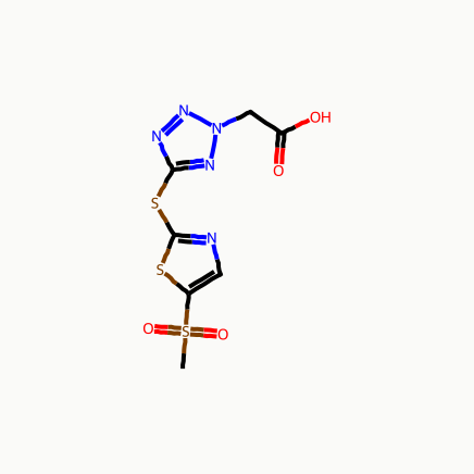 CS(=O)(=O)c1cnc(Sc2nnn(CC(=O)O)n2)s1